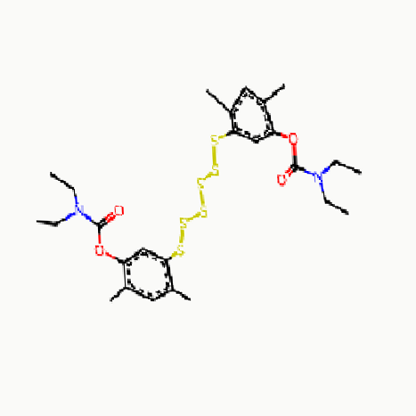 CCN(CC)C(=O)Oc1cc(SSSSSSc2cc(OC(=O)N(CC)CC)c(C)cc2C)c(C)cc1C